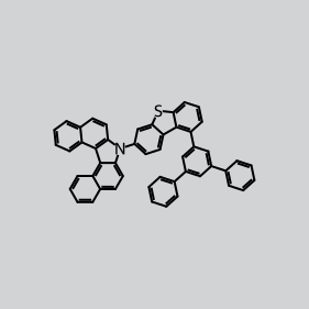 c1ccc(-c2cc(-c3ccccc3)cc(-c3cccc4sc5cc(-n6c7ccc8ccccc8c7c7c8ccccc8ccc76)ccc5c34)c2)cc1